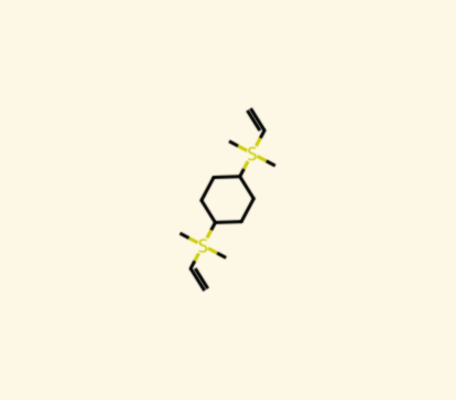 C=CS(C)(C)C1CCC(S(C)(C)C=C)CC1